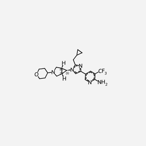 Nc1ncc(-c2cn([C@H]3[C@@H]4CN(C5CCOCC5)C[C@@H]43)c(CC3CC3)n2)cc1C(F)(F)F